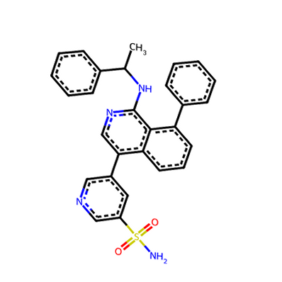 CC(Nc1ncc(-c2cncc(S(N)(=O)=O)c2)c2cccc(-c3ccccc3)c12)c1ccccc1